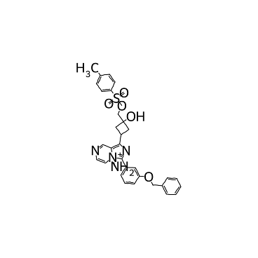 Cc1ccc(S(=O)(=O)OCC2(O)CC(C3=C4C=NC=C[N+]4(N)C(c4cccc(OCc5ccccc5)c4)=N3)C2)cc1